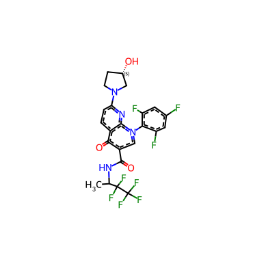 CC(NC(=O)c1cn(-c2c(F)cc(F)cc2F)c2nc(N3CC[C@H](O)C3)ccc2c1=O)C(F)(F)C(F)(F)F